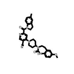 COc1ccc2c(c1)CCN(C1CCN(c3cc(C(=O)N4CCc5cc(C)ccc54)ncc3C#N)CC1)C(=O)N2